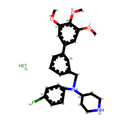 COc1cc(-c2cccc(CN(c3ccc(F)cc3)C3CCNCC3)c2)cc(OC)c1OC.Cl